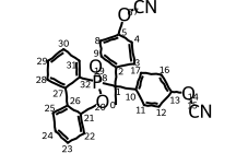 CC(c1ccc(OC#N)cc1)(c1ccc(OC#N)cc1)P1(=O)Oc2ccccc2-c2ccccc21